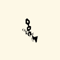 O=C(Nc1cc(-c2ccc(-c3ccccc3)cc2[N+](=O)[O-])ccn1)C1CC1